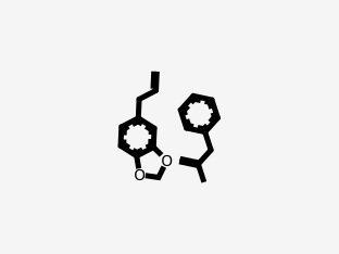 C=C(C)Cc1ccccc1.C=CCc1ccc2c(c1)OCO2